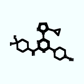 CC(=O)N1CCN(c2cc(-n3nccc3C3CC3)nc(NC3CCC(F)(F)CC3)n2)CC1